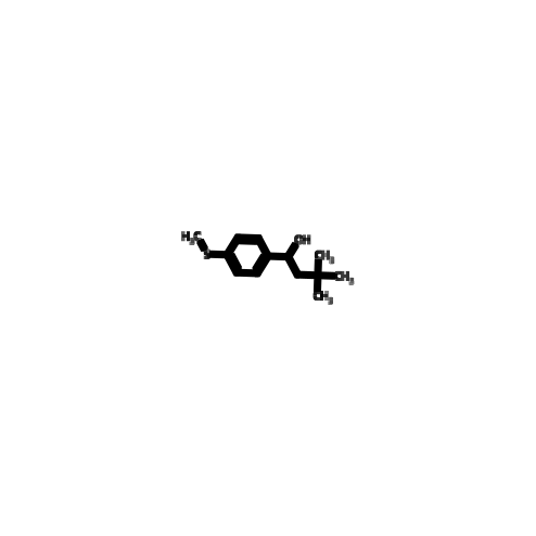 CSc1ccc(C(O)CC(C)(C)C)cc1